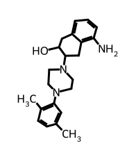 Cc1ccc(C)c(N2CCN(C3Cc4c(N)cccc4CC3O)CC2)c1